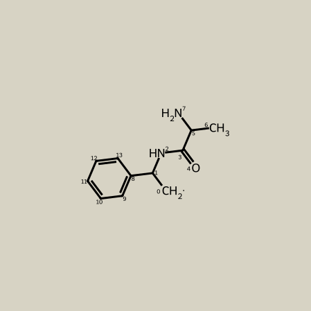 [CH2]C(NC(=O)C(C)N)c1ccccc1